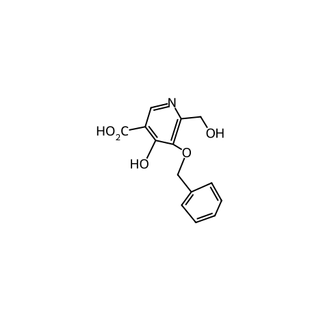 O=C(O)c1cnc(CO)c(OCc2ccccc2)c1O